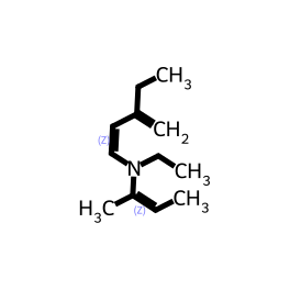 C=C(/C=C\N(CC)/C(C)=C\C)CC